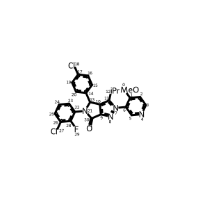 COc1ccncc1-n1nc2c(c1C(C)C)C(c1ccc(Cl)cc1)N(c1cccc(Cl)c1F)C2=O